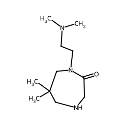 CN(C)CCN1CC(C)(C)CNCC1=O